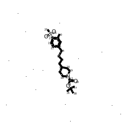 Cc1cc(CCCCC2CCN(C(=O)OC(C)(C)C)CC2)ccc1S(C)(=O)=O